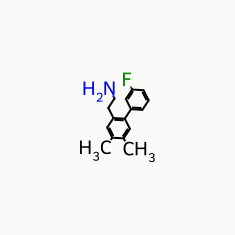 Cc1cc(CCN)c(-c2cccc(F)c2)cc1C